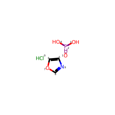 Cl.O=[PH](O)O.c1cocn1